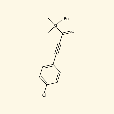 CC(C)(C)[Si](C)(C)C(=O)C#Cc1ccc(Cl)cc1